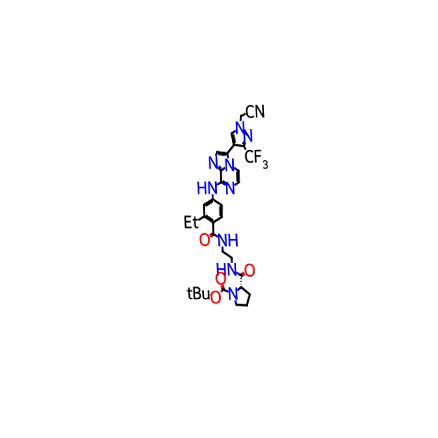 CCc1cc(Nc2nccn3c(-c4cn(CC#N)nc4C(F)(F)F)cnc23)ccc1C(=O)NCCNC(=O)[C@@H]1CCCN1C(=O)OC(C)(C)C